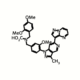 COc1ccc(CN(Cc2ccc(-n3nc(C)c4cnc(-c5cnn6cccnc56)cc43)c(OC)c2)C(=O)O)c(OC)c1